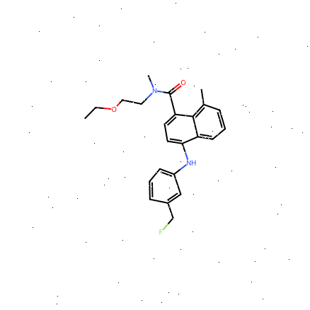 CCOCCN(C)C(=O)c1ccc(Nc2cccc(CF)c2)c2cccc(C)c12